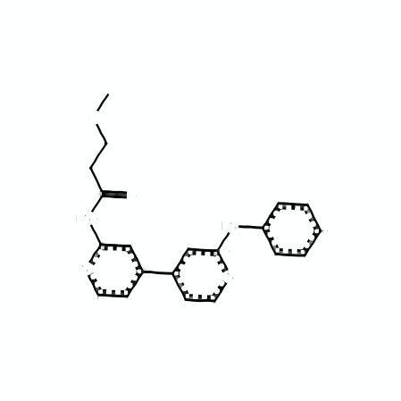 COCCC(=O)Nc1cc(-c2ccnc(Nc3ccccc3)c2)ccn1